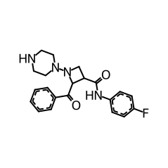 O=C(Nc1ccc(F)cc1)C1CN(N2CCNCC2)C1C(=O)c1ccccc1